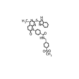 Cc1nc(Sc2nc3ccccc3[nH]2)nc2c1ccc(=O)n2-c1ccc(C(=O)NCc2ccc(S(C)(=O)=O)cc2)cc1